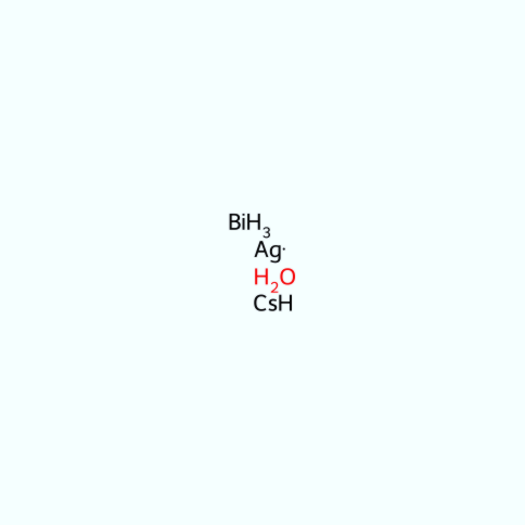 O.[Ag].[BiH3].[CsH]